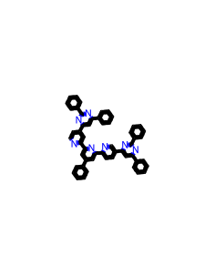 c1ccc(-c2cc(-c3ccc(-c4cc(-c5ccccc5)nc(-c5ccccc5)n4)cn3)nc(-c3cc(-c4cc(-c5ccccc5)nc(-c5ccccc5)n4)ccn3)c2)cc1